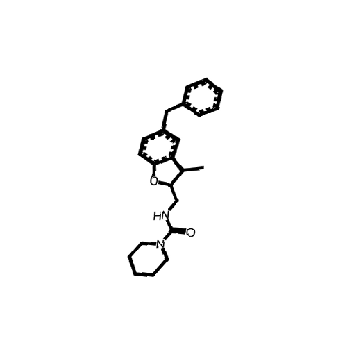 CC1c2cc(Cc3ccccc3)ccc2OC1CNC(=O)N1CCCCC1